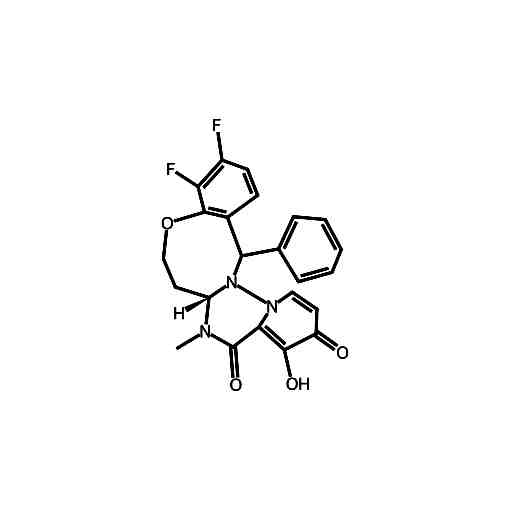 CN1C(=O)c2c(O)c(=O)ccn2N2C(c3ccccc3)c3ccc(F)c(F)c3OCC[C@@H]12